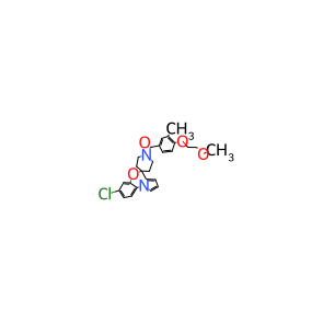 COCCOc1ccc(C(=O)N2CCC3(CC2)Oc2cc(Cl)ccc2-n2cccc23)cc1C